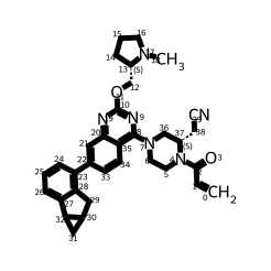 C=CC(=O)N1CCN(c2nc(OC[C@@H]3CCCN3C)nc3cc(-c4cccc5c4CC4CC54)ccc23)C[C@@H]1CC#N